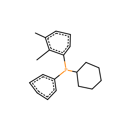 Cc1cccc(P(c2ccccc2)C2CCCCC2)c1C